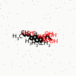 CC(C)=CCCC(C)(O)C1CC[C@]2(C)C1C(=O)CC1[C@@]3(C)CC=C(O[C@@H]4OC(CO)[C@@H](O)C(O)C4O)C(C)(C)C3CC[C@]12C